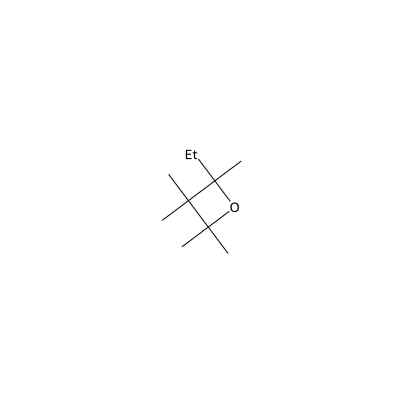 CCC1(C)OC(C)(C)C1(C)C